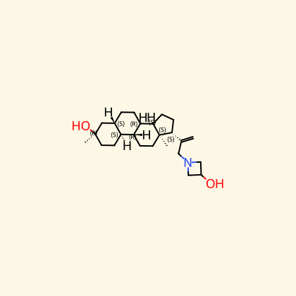 C=C(CN1CC(O)C1)[C@H]1CC[C@H]2[C@@H]3CC[C@H]4C[C@](C)(O)CC[C@@H]4[C@H]3CC[C@]12C